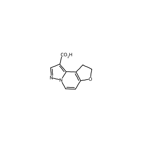 O=C(O)c1cnn2ccc3c(c12)CCO3